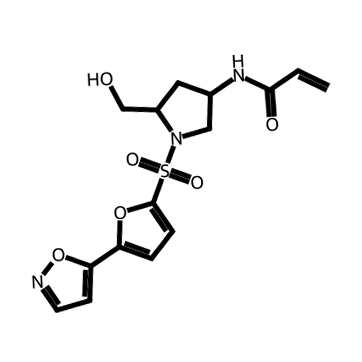 C=CC(=O)NC1CC(CO)N(S(=O)(=O)c2ccc(-c3ccno3)o2)C1